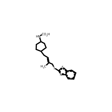 C/C(=C\CC1CCC(NC(=O)O)CC1)CSc1nc2ccccc2s1